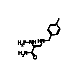 Cc1ccc(CN/C=C(\NP)C(N)=O)cc1